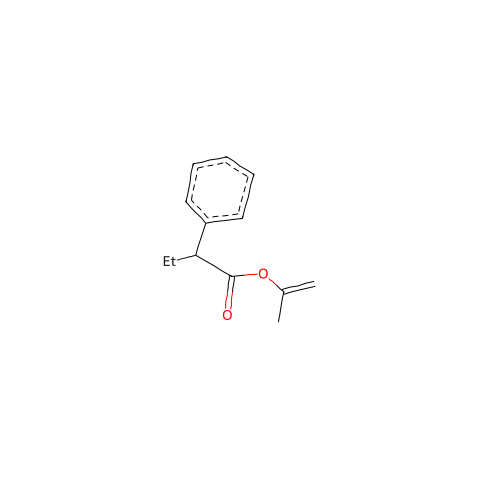 C=C(C)OC(=O)C(CC)c1ccccc1